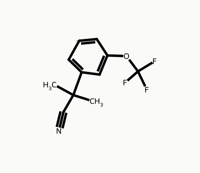 CC(C)(C#N)c1c[c]cc(OC(F)(F)F)c1